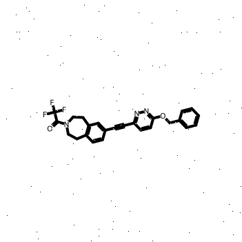 O=C(N1CCc2ccc(C#Cc3ccc(OCc4ccccc4)nn3)cc2CC1)C(F)(F)F